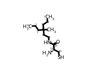 CCCC(C)(CCC)CCNC(=O)[C@@H](N)CS